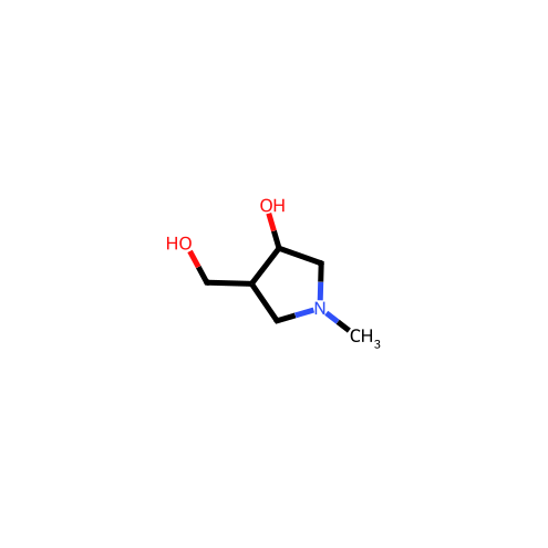 CN1CC(O)C(CO)C1